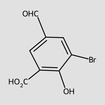 O=Cc1cc(Br)c(O)c(C(=O)O)c1